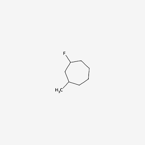 CC1CCCCC(F)C1